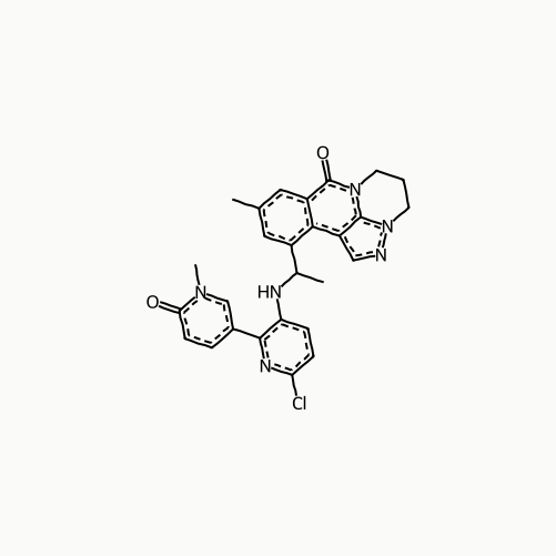 Cc1cc(C(C)Nc2ccc(Cl)nc2-c2ccc(=O)n(C)c2)c2c(c1)c(=O)n1c3c2cnn3CCC1